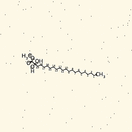 CCCCCCCCCCCCCCCCCCCCC(O)(O)C(=O)OC